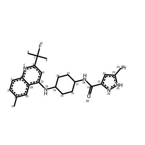 Cc1ccc2nc(C(C)(C)F)cc(NC3CCC(NC(=O)c4cc(C(C)C)[nH]n4)CC3)c2c1